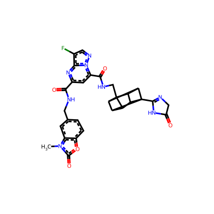 Cn1c(=O)oc2ccc(CNC(=O)c3cc(C(=O)NCC45C6C7C4C4C5C6C74C4=NCC(=O)N4)n4ncc(F)c4n3)cc21